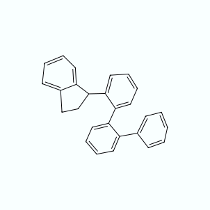 c1ccc(-c2ccccc2-c2ccccc2C2CCc3ccccc32)cc1